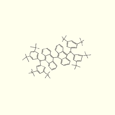 CC(C)(C)c1cc(N(c2cc([Si](C)(C)C)cc([Si](C)(C)C)c2)c2c3ccccc3c(-c3c4ccccc4c(N(c4cc(C(C)(C)C)cc(C(C)(C)C)c4)c4cc([Si](C)(C)C)cc([Si](C)(C)C)c4)c4ccccc34)c3ccccc23)cc(C(C)(C)C)c1